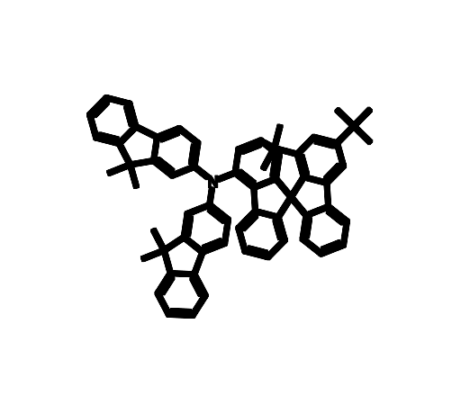 CC(C)(C)c1cc2c(c(C(C)(C)C)c1)C1(c3ccccc3-2)c2ccccc2-c2c(N(c3ccc4c(c3)C(C)(C)c3ccccc3-4)c3ccc4c(c3)C(C)(C)c3ccccc3-4)cccc21